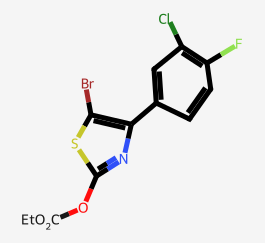 CCOC(=O)Oc1nc(-c2ccc(F)c(Cl)c2)c(Br)s1